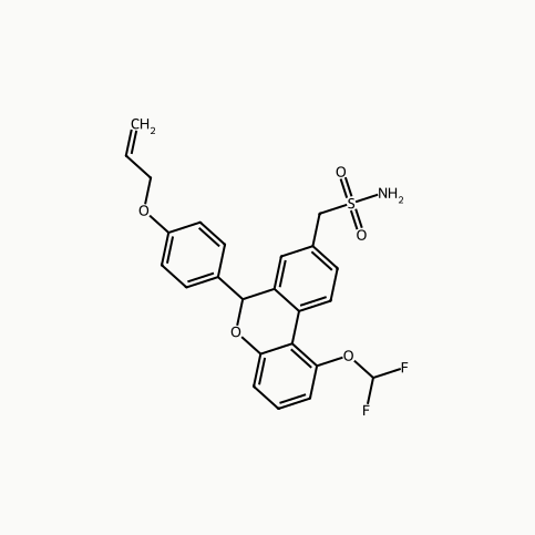 C=CCOc1ccc(C2Oc3cccc(OC(F)F)c3-c3ccc(CS(N)(=O)=O)cc32)cc1